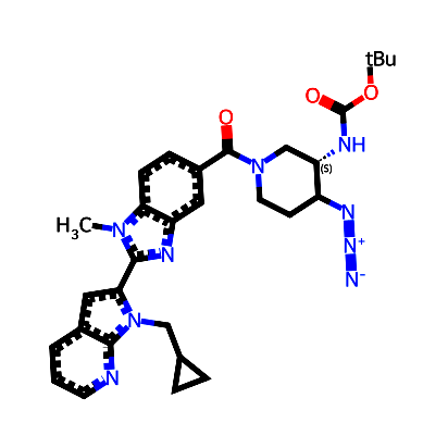 Cn1c(-c2cc3cccnc3n2CC2CC2)nc2cc(C(=O)N3CCC(N=[N+]=[N-])[C@@H](NC(=O)OC(C)(C)C)C3)ccc21